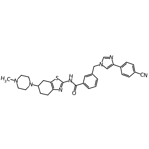 CN1CCN(C2CCc3nc(NC(=O)c4cccc(Cn5cnc(-c6ccc(C#N)cc6)c5)c4)sc3C2)CC1